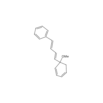 COC1(C=CC=Cc2ccccc2)C=CC=CC1